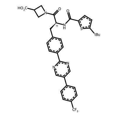 CC(C)(C)c1ccc(C(=O)N[C@@H](Cc2ccc(-c3ncc(-c4ccc(C(F)(F)F)cc4)cn3)cc2)C(=O)N2CC(C(=O)O)C2)s1